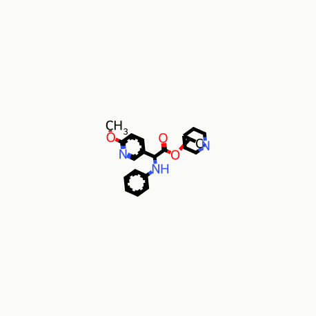 COc1ccc(C(Nc2ccccc2)C(=O)OC2CN3CCC2CC3)cn1